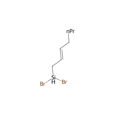 CCCCC=CC[SiH](Br)Br